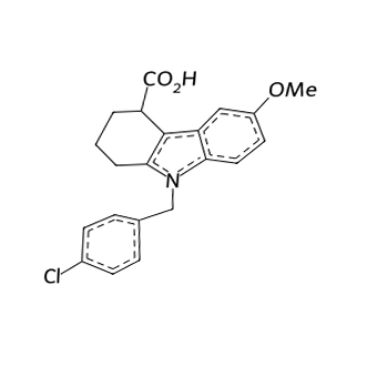 COc1ccc2c(c1)c1c(n2Cc2ccc(Cl)cc2)CCCC1C(=O)O